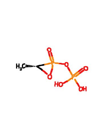 C[C@H]1OP1(=O)OP(=O)(O)O